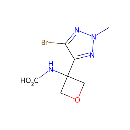 Cn1nc(Br)c(C2(NC(=O)O)COC2)n1